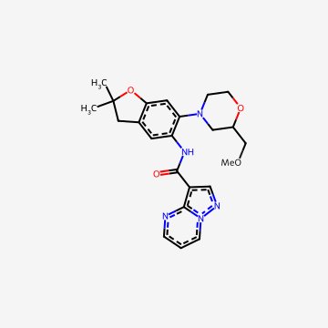 COCC1CN(c2cc3c(cc2NC(=O)c2cnn4cccnc24)CC(C)(C)O3)CCO1